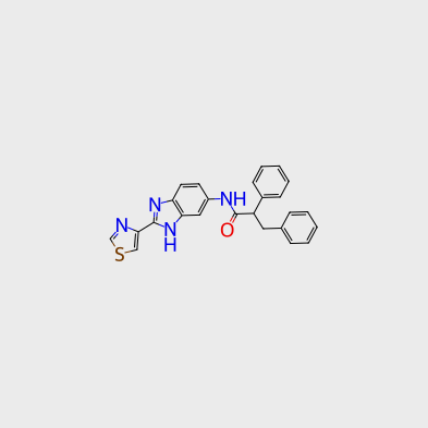 O=C(Nc1ccc2nc(-c3cscn3)[nH]c2c1)C(Cc1ccccc1)c1ccccc1